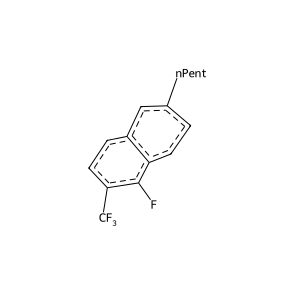 CCCCCc1ccc2c(F)c(C(F)(F)F)ccc2c1